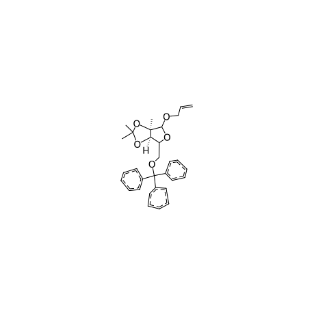 C=CCOC1OC(COC(c2ccccc2)(c2ccccc2)c2ccccc2)[C@H]2OC(C)(C)O[C@@]12C